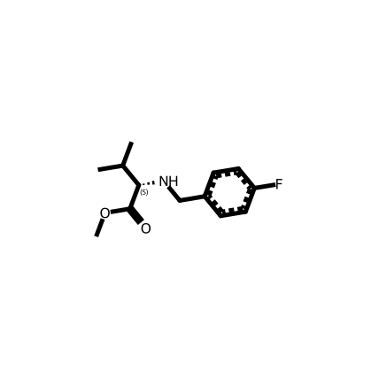 COC(=O)[C@@H](NCc1ccc(F)cc1)C(C)C